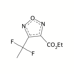 CCOC(=O)c1nonc1C(C)(F)F